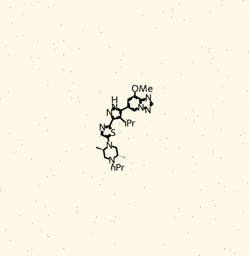 CCCN1C[C@@H](C)N(c2cnc(-c3n[nH]c(-c4cc(OC)c5ncnn5c4)c3C(C)C)s2)C[C@@H]1C